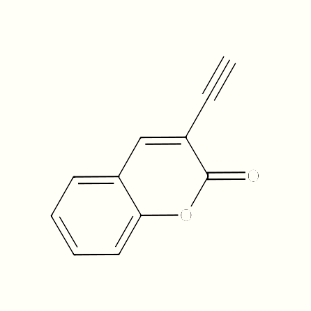 C#Cc1cc2ccccc2oc1=O